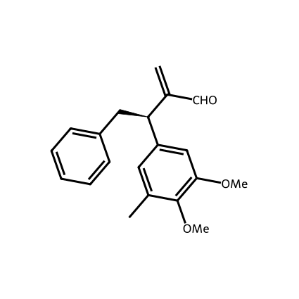 C=C(C=O)[C@H](Cc1ccccc1)c1cc(C)c(OC)c(OC)c1